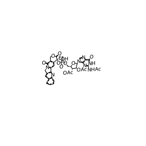 CC[C@@]1(OP(=O)(O)OC[C@H]2O[C@@H](n3cnc4c(=O)[nH]c(NC(C)=O)nc43)[C@H](OC(C)=O)[C@@H]2OC(C)=O)C(=O)OCc2c1cc1n(c2=O)Cc2cc3ccccc3nc2-1